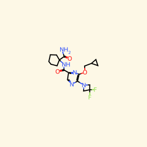 NC(=O)C1(NC(=O)c2cnc(N3CC(F)(F)C3)c(OCC3CC3)n2)CCCCC1